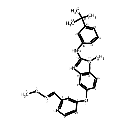 CO/N=C/c1cc(Oc2ccc3c(c2)nc(Nc2cccc(C(C)(C)C)c2)n3C)ccn1